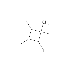 CC1(I)C(I)C(I)C1I